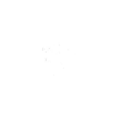 CP(C)C1(C(P)C2(P(C)C)CCCCC2)CCCCC1